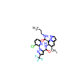 CCCNC(=O)c1c(NC(=O)c2cc(C(F)(F)F)nn2-c2ncccc2Cl)c(C)cc2ccnn12